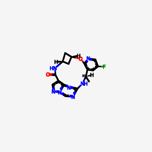 C[C@H]1Nc2ncn3ncc(c3n2)C(=O)N[C@H]2C[C@H](C2)Oc2ncc(F)cc21